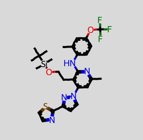 Cc1cc(-n2ccc(-c3nccs3)n2)c(CCO[Si](C)(C)C(C)(C)C)c(Nc2ccc(OC(F)(F)F)cc2C)n1